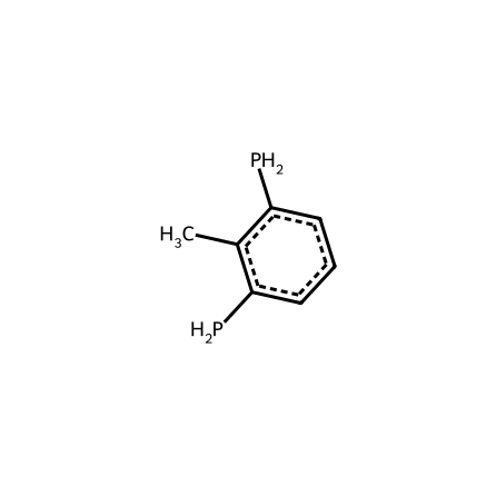 Cc1c(P)cccc1P